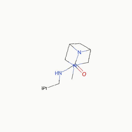 CC(C)CNC(=O)N1C2CC1CN(C)C2